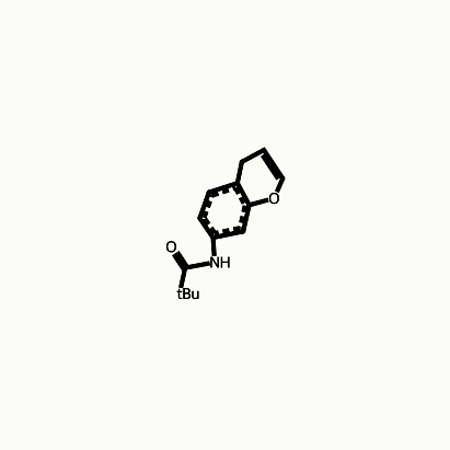 CC(C)(C)C(=O)Nc1ccc2c(c1)OC=CC2